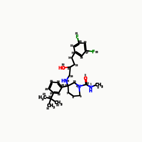 CNC(=O)N1CCCC(NCC(O)CCc2cc(F)cc(F)c2)(c2cccc(C(C)(C)C)c2)C1